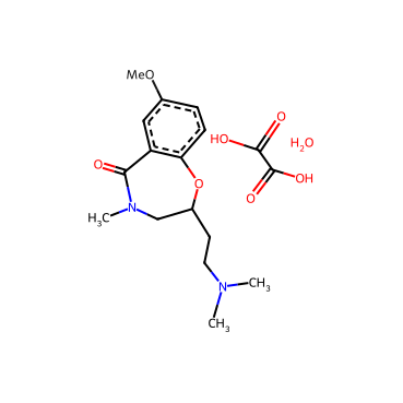 COc1ccc2c(c1)C(=O)N(C)CC(CCN(C)C)O2.O.O=C(O)C(=O)O